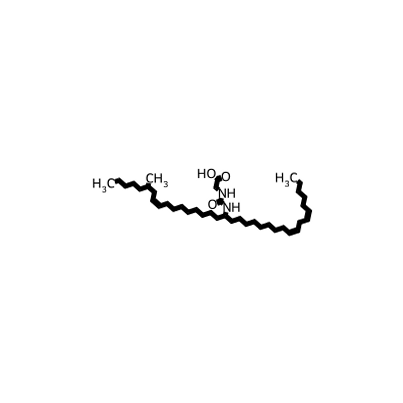 CCCCC/C=C\C/C=C\CCCCCCCCC(CCCCCCCC/C=C\CC(C)CCCCC)NC(=O)NCC(=O)O